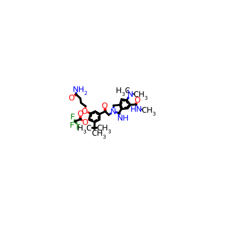 CNC(=O)c1cc2c(cc1N(C)C)CN(CC(=O)c1cc(OCCCC(N)=O)c(OC(=O)C(F)(F)F)c(C(C)(C)C)c1)C2=N